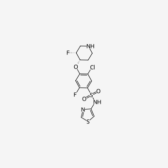 O=S(=O)(Nc1cscn1)c1cc(Cl)c(O[C@H]2CCNC[C@H]2F)cc1F